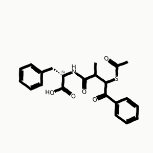 CC(=O)SC(C(=O)c1ccccc1)C(C)C(=O)N[C@@H](Cc1ccccc1)C(=O)O